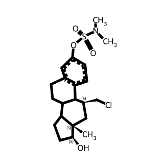 CN(C)S(=O)(=O)Oc1ccc2c(c1)CCC1C2[C@@H](CCl)C[C@@]2(C)C1CC[C@@H]2O